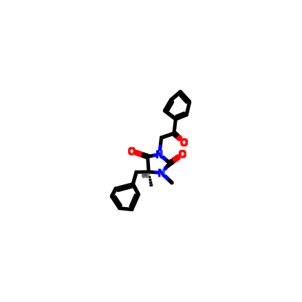 CN1C(=O)N(CC(=O)c2ccccc2)C(=O)[C@]1(C)Cc1ccccc1